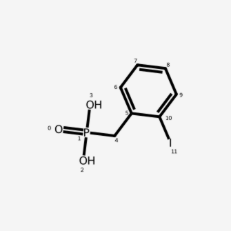 O=P(O)(O)Cc1ccccc1I